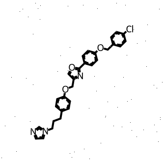 Clc1ccc(COc2ccc(-c3nc(COc4ccc(CCCn5ccnc5)cc4)co3)cc2)cc1